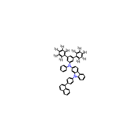 [2H]c1c([2H])c([2H])c(-c2cc(-c3c([2H])c([2H])c([2H])c([2H])c3[2H])cc(N(c3ccccc3)c3ccc4c5ccccc5n(-c5ccc(-c6cccc7ccccc67)cc5)c4c3)c2)c([2H])c1[2H]